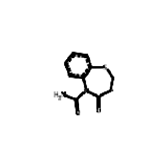 NC(=O)N1C(=O)[CH]CSc2ccccc21